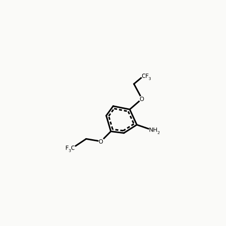 Nc1cc(OCC(F)(F)F)ccc1OCC(F)(F)F